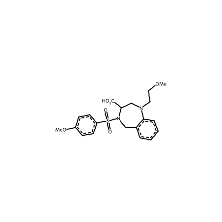 COCCN1CC(C(=O)O)N(S(=O)(=O)c2ccc(OC)cc2)Cc2ccccc21